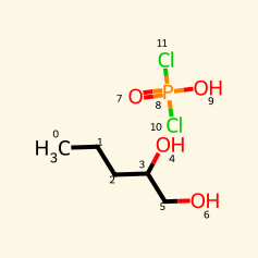 CCCC(O)CO.O=P(O)(Cl)Cl